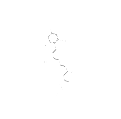 CCOC(=O)C=C(C)C=CC=C(C)C=Cc1c(Cl)cc(OC)c(Cl)c1Cl